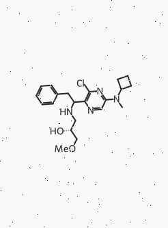 COC[C@H](O)CNC(Cc1ccccc1)c1ncc(N(C)C2CCC2)nc1Cl